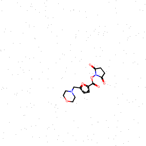 O=C(ON1C(=O)CCC1=O)c1ccc(CN2CCOCC2)o1